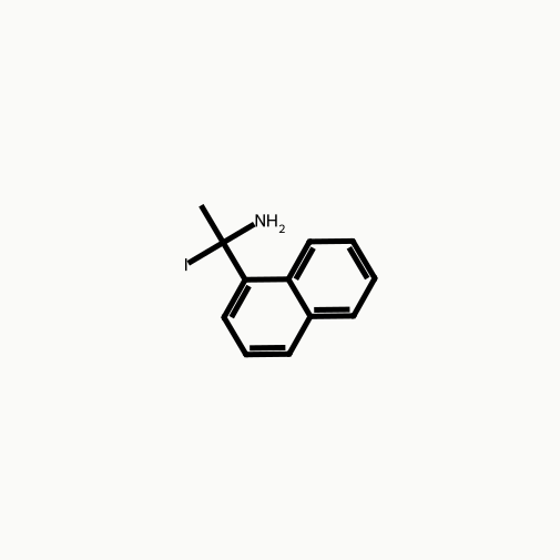 CC(N)(I)c1cccc2ccccc12